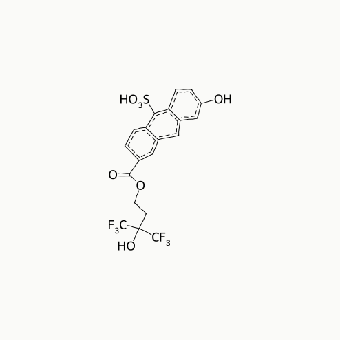 O=C(OCCC(O)(C(F)(F)F)C(F)(F)F)c1ccc2c(S(=O)(=O)O)c3ccc(O)cc3cc2c1